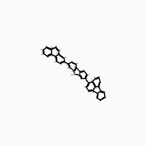 c1ccc2c(c1)-c1cccc3c(-c4ccc5c(c4)sc4cc(-c6ccc7c(ccc8ccccc87)c6)ccc45)ccc-2c13